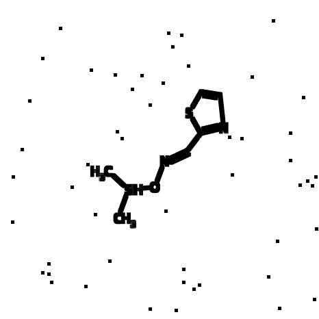 C[SiH](C)ON=Cc1nccs1